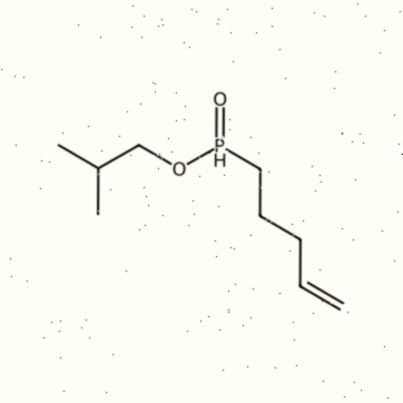 C=CCCC[PH](=O)OCC(C)C